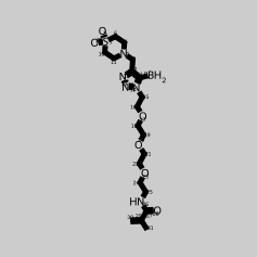 Bc1c(CN2CCS(=O)(=O)CC2)nnn1CCOCCOCCOCCNC(=O)C(=C)C